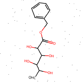 O=CC(O)C(O)C(O)C(O)C(=O)OCc1ccccc1